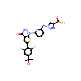 CC(C)(O)c1cc(F)c(-c2cc(C(N)=O)c(Nc3cccc(Cn4cc(C(=O)O)nn4)n3)s2)c(F)c1